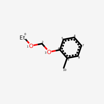 [CH2]COCOc1ccccc1C